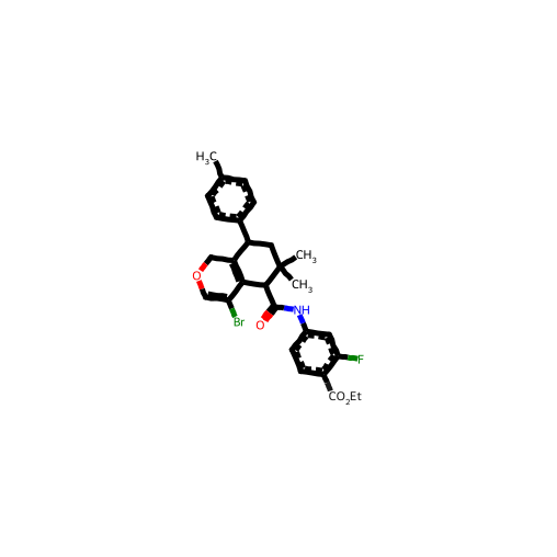 CCOC(=O)c1ccc(NC(=O)C2C3=C(COC=C3Br)C(c3ccc(C)cc3)CC2(C)C)cc1F